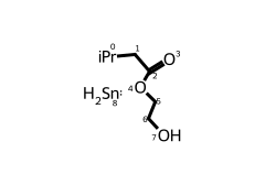 CC(C)CC(=O)OCCO.[SnH2]